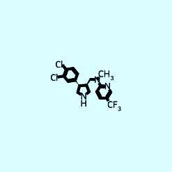 CN(C[C@H]1CNC[C@@H]1c1ccc(Cl)c(Cl)c1)c1ccc(C(F)(F)F)cn1